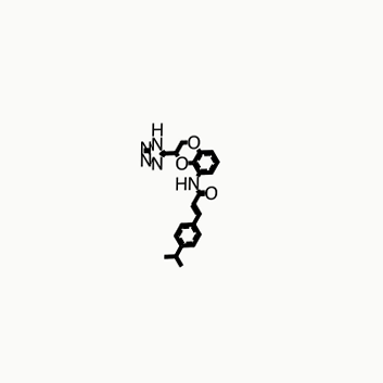 CC(C)c1ccc(/C=C/C(=O)Nc2cccc3c2OC(c2nnn[nH]2)CO3)cc1